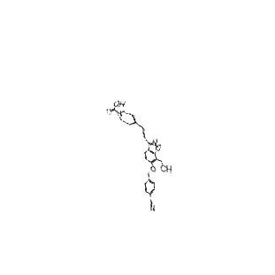 N#Cc1ccc(COc2ccc3c(CCC4CCN(C(=O)O)CC4)noc3c2CO)cc1